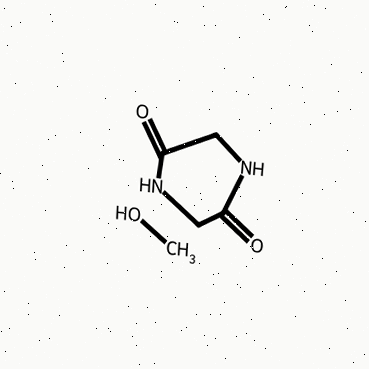 CO.O=C1CNC(=O)CN1